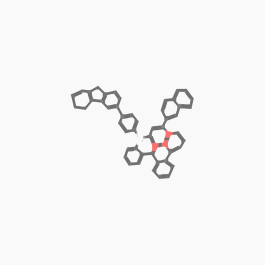 C1=CC2=C(CC1)c1cc(-c3ccc(N(c4cccc(-c5ccc6ccccc6c5)c4)c4ccccc4-c4cc5ccccc5c5ccccc45)cc3)ccc1C2